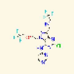 FC(F)(F)CNCc1nn(CCOCC(F)(F)F)c2c(Nc3ccncn3)nc(Cl)nc12